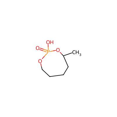 CC1CCCCOP(=O)(O)O1